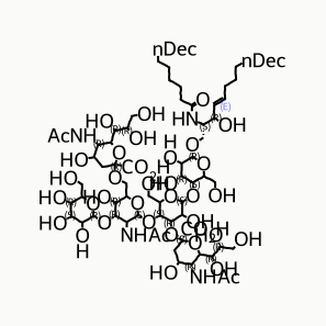 CCCCCCCCCCCCC/C=C/[C@@H](O)[C@H](CO[C@@H]1OC(CO)[C@@H](O[C@@H]2OC(CO)[C@H](O[C@@H]3OC(CO[C@]4(C(=O)O)CC(O)[C@@H](NC(C)=O)C([C@H](O)[C@H](O)CO)O4)[C@H](O)[C@H](O[C@@H]4OC(CO)[C@H](O)[C@H](O)C4O)C3NC(C)=O)[C@H](O[C@]3(C(=O)O)CC(O)[C@@H](NC(C)=O)C([C@H](O)[C@H](O)CO)O3)C2O)[C@H](O)C1O)NC(=O)CCCCCCCCCCCCCCC